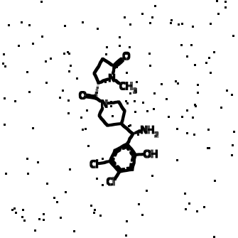 CN1C(=O)CC[C@H]1C(=O)N1CCC([C@@H](N)c2cc(Cl)c(Cl)cc2O)CC1